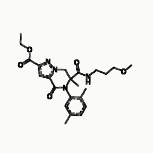 CCOC(=O)c1cc2n(n1)CC(C)(C(=O)NCCCOC)N(c1cc(C)ccc1C)C2=O